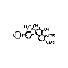 COc1ccc2c3c(cc(O)c2c1OC)C(C)(C)c1cc(N2CCOCC2)ccc1-3